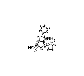 Nn1c(-c2ccccc2)cc2cc(CO)cc(C3CCCC3)c21